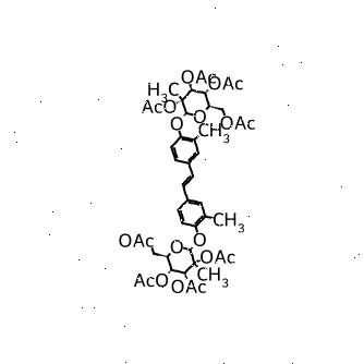 CC(=O)OC[C@H]1O[C@H](Oc2ccc(C=Cc3ccc(O[C@H]4O[C@H](COC(C)=O)[C@@H](OC(C)=O)[C@H](OC(C)=O)[C@]4(C)OC(C)=O)c(C)c3)cc2C)[C@](C)(OC(C)=O)[C@@H](OC(C)=O)[C@@H]1OC(C)=O